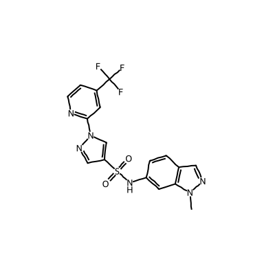 Cn1ncc2ccc(NS(=O)(=O)c3cnn(-c4cc(C(F)(F)F)ccn4)c3)cc21